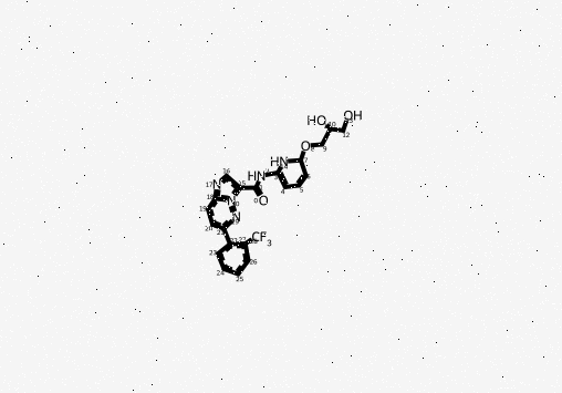 O=C(NC1=CC=CC(OCC(O)CO)N1)c1cnc2ccc(-c3ccccc3C(F)(F)F)nn12